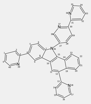 c1ccc(-c2ccc3c(c2)c2cc(-c4ccccn4)c4ccccc4c2n3-c2ccc(-c3ccccn3)nc2)nc1